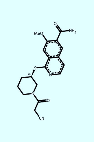 COc1cc2c(S[C@@H]3CCCN(C(=O)CC#N)C3)nccc2cc1C(N)=O